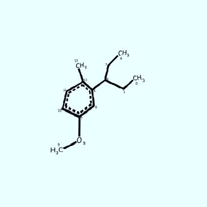 CCC(CC)c1cc(OC)ccc1C